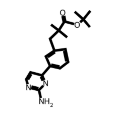 CC(C)(C)OC(=O)C(C)(C)Cc1cccc(-c2ccnc(N)n2)c1